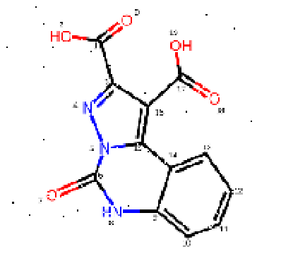 O=C(O)c1nn2c(=O)[nH]c3ccccc3c2c1C(=O)O